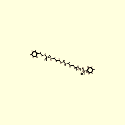 O=C(CCCc1ccccc1)OCCCCCCCCCCCCNCC(O)c1ccccc1